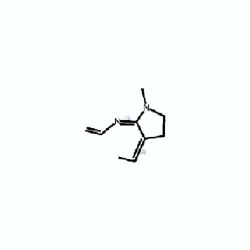 C=C/N=C1\C(=C/C)CCN1C